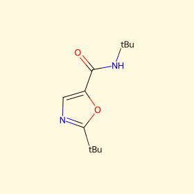 CC(C)(C)NC(=O)c1cnc(C(C)(C)C)o1